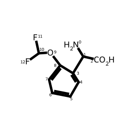 NC(C(=O)O)c1ccccc1OC(F)F